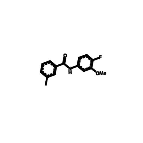 COc1cc(NC(=O)c2cccc(C)c2)ccc1F